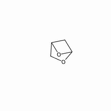 C1OC2CC1O2